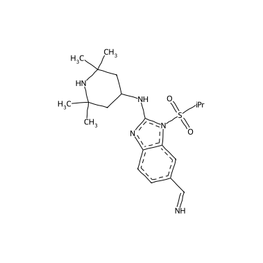 CC(C)S(=O)(=O)n1c(NC2CC(C)(C)NC(C)(C)C2)nc2ccc(C=N)cc21